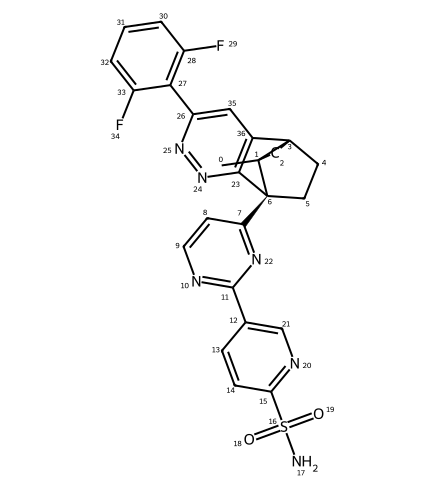 CC12CC13CC[C@]2(c1ccnc(-c2ccc(S(N)(=O)=O)nc2)n1)c1nnc(-c2c(F)cccc2F)cc13